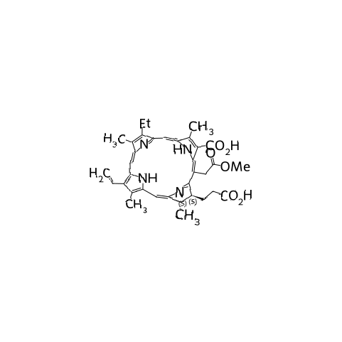 C=Cc1c(C)c2cc3nc(c(CC(=O)OC)c4[nH]c(cc5nc(cc1[nH]2)C(C)=C5CC)c(C)c4C(=O)O)[C@@H](CCC(=O)O)[C@@H]3C